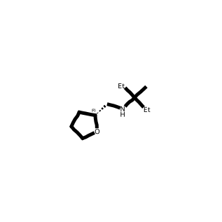 CCC(C)(CC)NC[C@H]1CCCO1